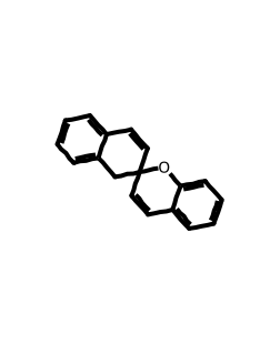 C1=CC2(C=Cc3ccccc3O2)Cc2ccccc21